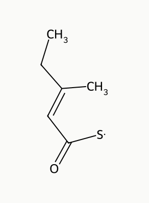 CC/C(C)=C/C(=O)[S]